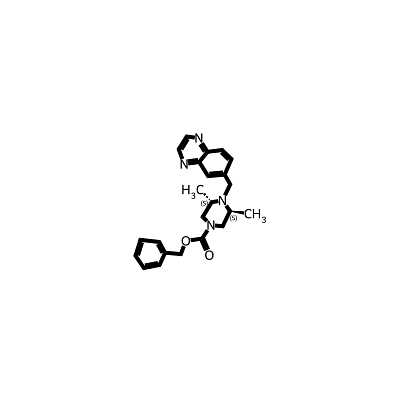 C[C@H]1CN(C(=O)OCc2ccccc2)C[C@H](C)N1Cc1ccc2nccnc2c1